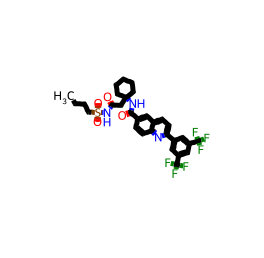 CCCCS(=O)(=O)NC(=O)CC1(NC(=O)c2ccc3nc(-c4cc(C(F)(F)F)cc(C(F)(F)F)c4)ccc3c2)CCCCC1